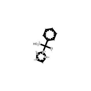 CCC(C(=O)O)(c1ccccc1)n1ncnn1